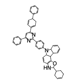 C1=CC2C3C4=C(C=CC3N(c3ccc(-c5nc(C6=CCC(c7ccccc7)C=C6)cc(-c6ccccc6)n5)cc3)C2C=C1)NC(C1CC=CCC1)O4